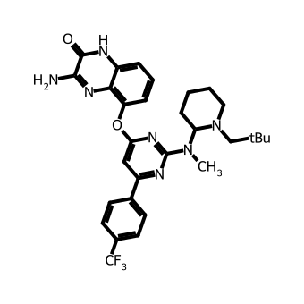 CN(c1nc(Oc2cccc3[nH]c(=O)c(N)nc23)cc(-c2ccc(C(F)(F)F)cc2)n1)C1CCCCN1CC(C)(C)C